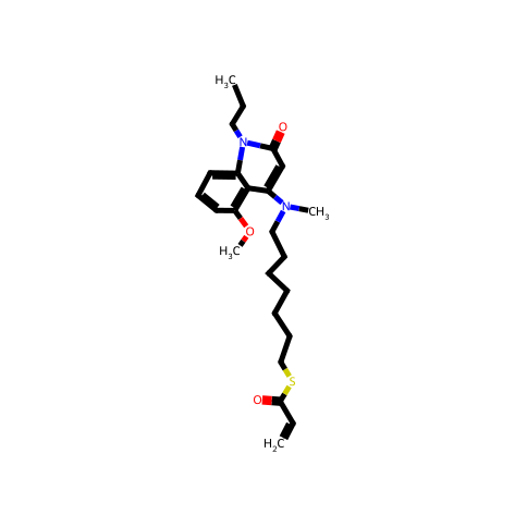 C=CC(=O)SCCCCCCCN(C)c1cc(=O)n(CCC)c2cccc(OC)c12